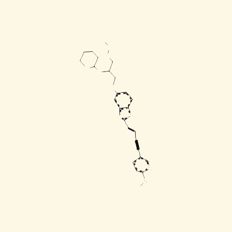 CNc1ccc(C#C/C=C/c2nc3ccc(OCC(COSI)OC4CCCCO4)cc3s2)cn1